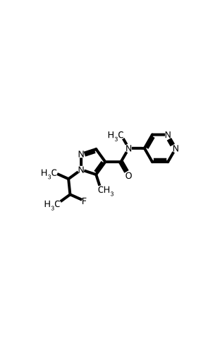 Cc1c(C(=O)N(C)c2ccnnc2)cnn1C(C)C(C)F